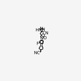 N#CC=C1CCN(c2ccc(N3CC(Cc4[nH]nnc4C#N)OC3=O)cc2F)CC1